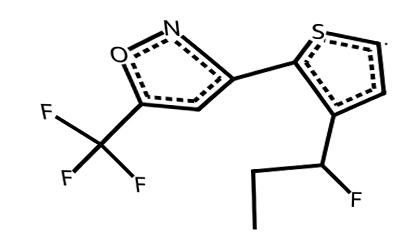 CCC(F)c1c[c]sc1-c1cc(C(F)(F)F)on1